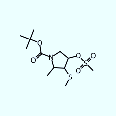 CSC1C(OS(C)(=O)=O)CN(C(=O)OC(C)(C)C)C1C